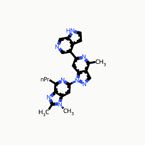 CCCc1nc(-n2ncc3c(C)nc(-c4cncc5[nH]ccc45)cc32)cc2c1nc(C)n2C